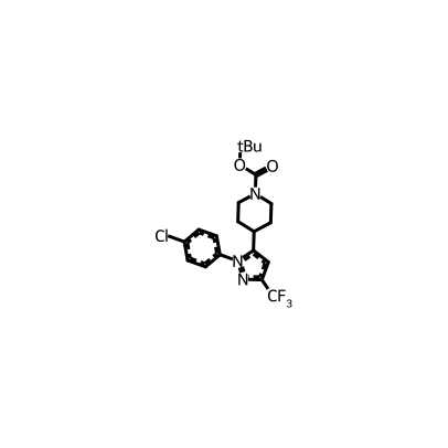 CC(C)(C)OC(=O)N1CCC(c2cc(C(F)(F)F)nn2-c2ccc(Cl)cc2)CC1